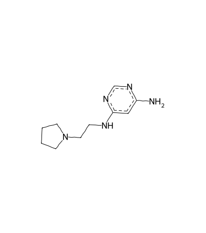 Nc1cc(NCCN2CCCC2)ncn1